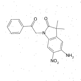 CC1(C)C(=O)N(CC(=O)c2ccccc2)c2cc([N+](=O)[O-])c(N)cc21